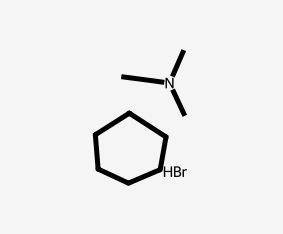 Br.C1CCCCC1.CN(C)C